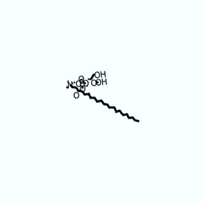 CCCCCCCCCCCCCCCCCCCC(=O)C(C[N+](C)(C)C)OP(=O)([O-])OC[C@@H](CO)OO